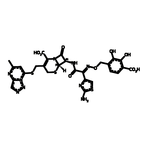 Cc1cc(SCC2=C(C(=O)O)N3C(=O)[C@@H](NC(=O)C(=NOCc4ccc(C(=O)O)c(O)c4O)c4csc(N)n4)[C@H]3SC2)n2nncc2n1